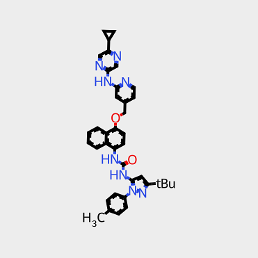 Cc1ccc(-n2nc(C(C)(C)C)cc2NC(=O)Nc2ccc(OCc3ccnc(Nc4cnc(C5CC5)cn4)c3)c3ccccc23)cc1